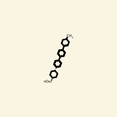 CCCCCCCCCC[C@H]1CC[C@H](c2ccc(-c3ccc(C4=CCC(C)CC4)cc3)cc2)CC1